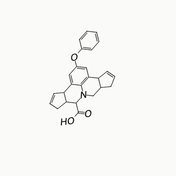 O=C(O)C1C2CC=CC2c2cc(Oc3ccccc3)cc3c2N1CC1CC=CC31